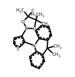 CC1(C)c2ccccc2N(c2sccc2B2OC(C)(C)C(C)(C)O2)c2ccccc21